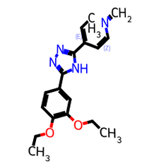 C=N/C=C\C(=C/C)c1nnc(-c2ccc(OCC)c(OCC)c2)[nH]1